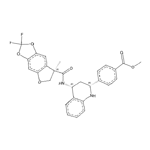 COC(=O)c1ccc([C@H]2C[C@@H](NC(=O)[C@@]3(C)COc4cc5c(cc43)OC(F)(F)O5)c3ccccc3N2)cc1